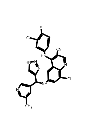 Cc1cncc(C(Nc2cc(Cl)c3ncc(C#N)c(Nc4ccc(F)c(Cl)c4)c3c2)c2c[nH]nn2)c1